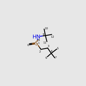 C=S(CCC(C)(C)C)NC(C)(C)C